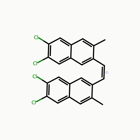 Cc1cc2cc(Cl)c(Cl)cc2cc1/C=C\c1cc2cc(Cl)c(Cl)cc2cc1C